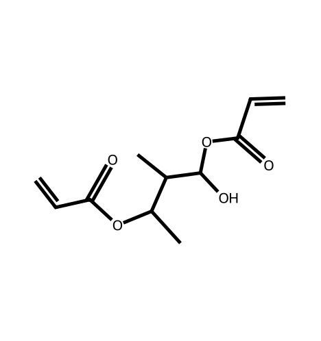 C=CC(=O)OC(C)C(C)C(O)OC(=O)C=C